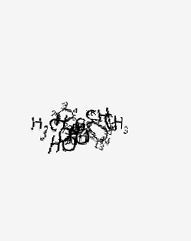 Cc1ccccc1OP(=O)(O)Oc1ccc(C)c(C)c1C